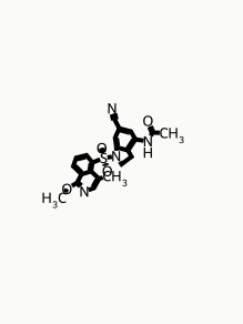 COc1ncc(C)c2c(S(=O)(=O)N3CCc4c(NC(C)=O)cc(C#N)cc43)cccc12